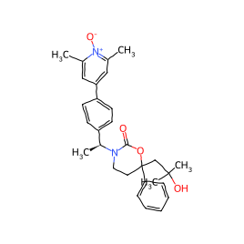 Cc1cc(-c2ccc([C@H](C)N3CCC(CC(C)(C)O)(c4ccccc4)OC3=O)cc2)cc(C)[n+]1[O-]